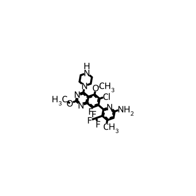 COc1nc(N2CCNCC2)c2c(OC)c(Cl)c(-c3nc(N)cc(C)c3C(F)(F)F)c(F)c2n1